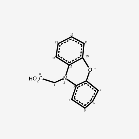 O=C(O)CN1c2ccccc2Oc2ccccc21